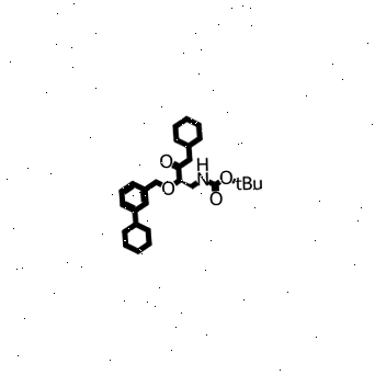 CC(C)(C)OC(=O)NC[C@@H](OCc1cccc(C2CCCCC2)c1)C(=O)CC1CCCCC1